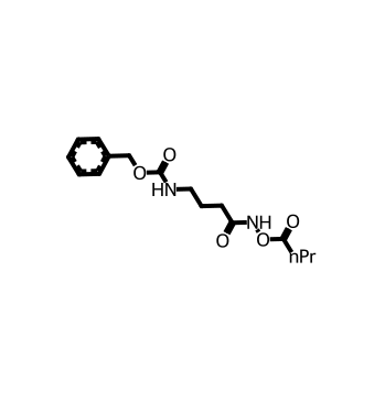 CCCC(=O)ONC(=O)CCCNC(=O)OCc1ccccc1